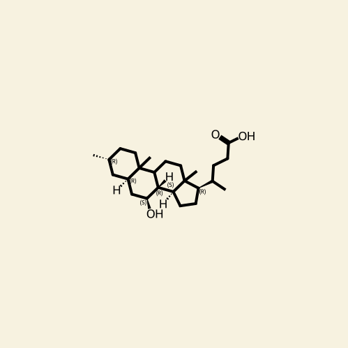 CC(CCC(=O)O)[C@H]1CC[C@H]2[C@H]3C(CCC12C)C1(C)CC[C@@H](C)C[C@@H]1C[C@@H]3O